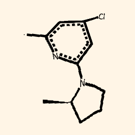 [CH2]c1cc(Cl)cc(N2CCC[C@H]2C)n1